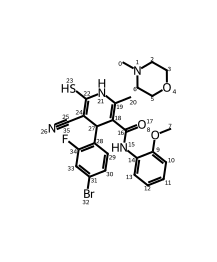 CN1CCOCC1.COc1ccccc1NC(=O)C1=C(C)NC(S)=C(C#N)C1c1ccc(Br)cc1F